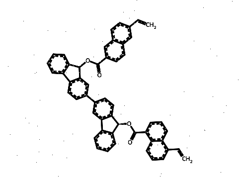 C=Cc1ccc2cc(C(=O)OC3c4ccccc4-c4ccc(-c5ccc6c(c5)-c5ccccc5[C@@H]6OC(=O)c5cccc6c(C=C)cccc56)cc43)ccc2c1